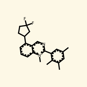 Cc1cc(C)c(C)c(-c2ncc3c(C4CCC(F)(F)C4)cccc3[n+]2C)c1